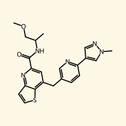 COCC(C)NC(=O)c1cc(Cc2ccc(-c3cnn(C)c3)nc2)c2sccc2n1